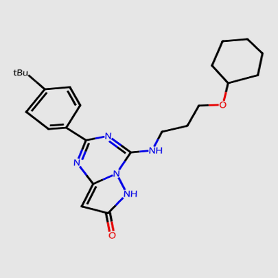 CC(C)(C)c1ccc(-c2nc(NCCCOC3CCCCC3)n3[nH]c(=O)cc3n2)cc1